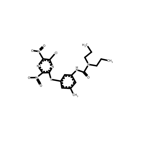 CCCN(CCC)C(=O)Nc1cc(C)cc(Sc2nc(Cl)c([N+](=O)[O-])nc2[N+](=O)[O-])c1